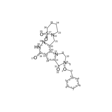 C[N+]1(OCc2ccccc2)CCn2c(cc3c(=O)[nH]nc(CN4CCCCS4(=O)=O)c32)C1=O